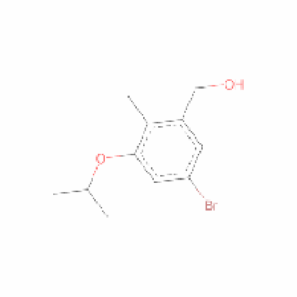 Cc1c(CO)cc(Br)cc1OC(C)C